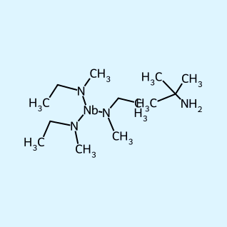 CC(C)(C)N.CC[N](C)[Nb]([N](C)CC)[N](C)CC